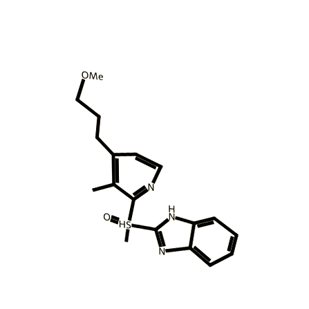 COCCCc1ccnc([SH](C)(=O)c2nc3ccccc3[nH]2)c1C